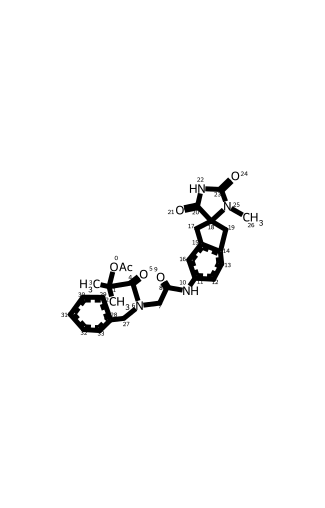 CC(=O)OC(C)(C)C(=O)N(CC(=O)Nc1ccc2c(c1)CC1(C2)C(=O)NC(=O)N1C)Cc1ccccc1